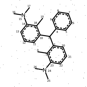 Cc1c(C(c2ccccc2)c2cccc(N(C)C)c2C)cccc1N(C)C